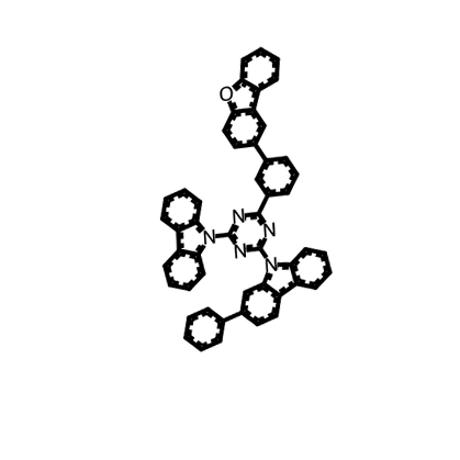 c1ccc(-c2ccc3c4ccccc4n(-c4nc(-c5cccc(-c6ccc7oc8ccccc8c7c6)c5)nc(-n5c6ccccc6c6ccccc65)n4)c3c2)cc1